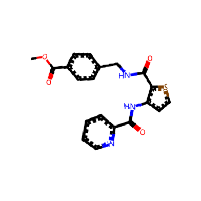 COC(=O)c1ccc(CNC(=O)c2sccc2NC(=O)c2ccccn2)cc1